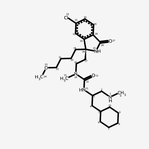 CNCC(CC1CCCCC1)NC(=O)N(C)CC[C@]1(CCCCOC)NC(=O)c2ccc(Cl)cc21